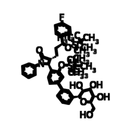 CC(C)(C)[Si](C)(C)Oc1cc(-c2cccc([C@@H]3O[C@H](CO)[C@@H](O)[C@H](O)[C@H]3O)c2)ccc1[C@@H]1[C@@H](CC[C@H](O[Si](C)(C)C(C)(C)C)c2ccc(F)cc2)C(=O)N1c1ccccc1